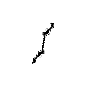 CCC(C)[Si](C)(C)OCCCOC(=O)C(C)(Br)CC(C)(C)C(=O)OCC=CCCCCCCC=CCOC(=O)C(C)(C)CC(C)(Br)C(=O)OCCCO[Si](C)(C)C(C)CC